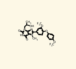 CC(O)Cn1c(=O)[nH]c(=O)c2c1nc(-c1ccc(Oc3ccc(OC(F)(F)F)cc3)c(OC(F)(F)F)c1)n2C